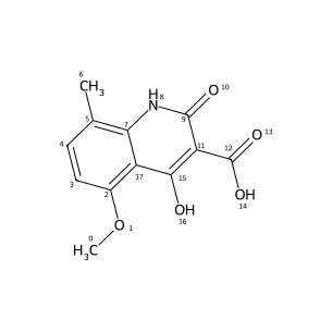 COc1ccc(C)c2[nH]c(=O)c(C(=O)O)c(O)c12